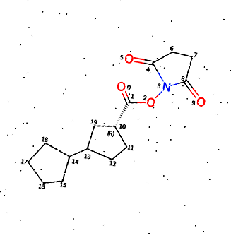 O=C(ON1C(=O)CCC1=O)[C@@H]1CCC(C2CCCC2)C1